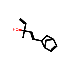 C=CC(C)(O)/C=C/C1CC2C=CC1C2